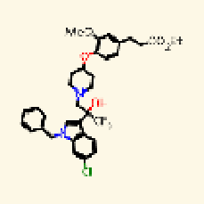 CCOC(=O)CCc1ccc(OC2CCN(CC(O)(c3cn(Cc4ccccc4)c4cc(Cl)ccc34)C(F)(F)F)CC2)c(OC)c1